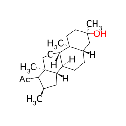 CC(=O)C1[C@H](C)C[C@H]2[C@@H]3CC[C@H]4C[C@](C)(O)CC[C@]4(C)[C@H]3CC[C@]12C